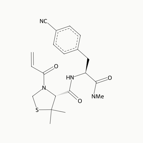 C=CC(=O)N1CSC(C)(C)[C@H]1C(=O)N[C@@H](Cc1ccc(C#N)cc1)C(=O)NC